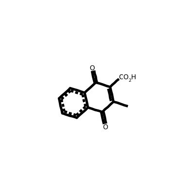 CC1=C(C(=O)O)C(=O)c2ccccc2C1=O